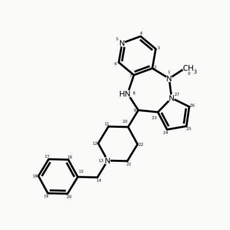 CN1c2ccncc2NC(C2CCN(Cc3ccccc3)CC2)c2cccn21